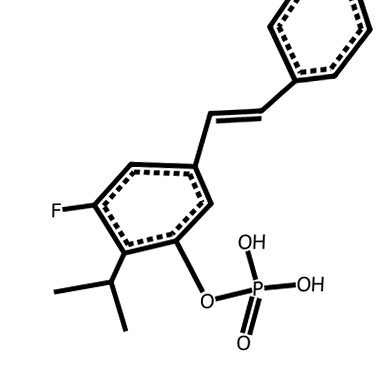 CC(C)c1c(F)cc(C=Cc2ccccc2)cc1OP(=O)(O)O